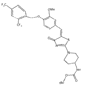 COc1cc(C=C2SC(N3CCC(NC(=O)OC(C)(C)C)CC3)=NC2=O)ccc1OCc1ccc(C(F)(F)F)cc1C(F)(F)F